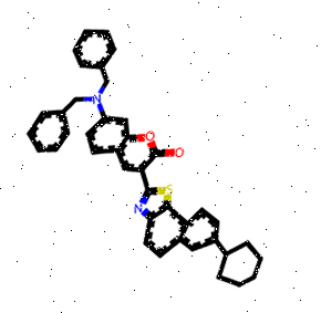 O=c1oc2cc(N(Cc3ccccc3)Cc3ccccc3)ccc2cc1-c1nc2ccc3cc(C4CCCCC4)ccc3c2s1